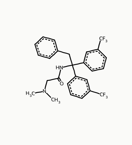 CN(C)CC(=O)NC(Cc1ccccc1)(c1cccc(C(F)(F)F)c1)c1cccc(C(F)(F)F)c1